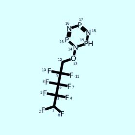 FC(F)C(F)(F)C(F)(F)C(F)(F)CON1P=NP=NP1